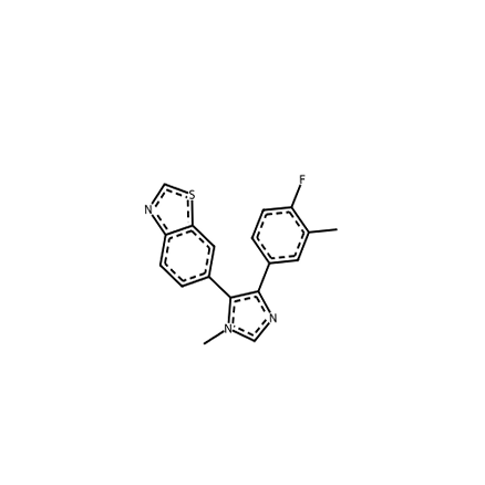 Cc1cc(-c2ncn(C)c2-c2ccc3ncsc3c2)ccc1F